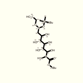 CC(C)(C)OC(=O)N(N)C(O)[C@H](O)C(O)[C@H](O)C(O)CN(OCC(=O)O)O[Si](C)(C)C(C)(C)C